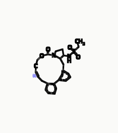 CCS(=O)(=O)NC1CCN2C(=O)OCC/C=C\Cc3ccccc3-c3cccc(c3)CC12